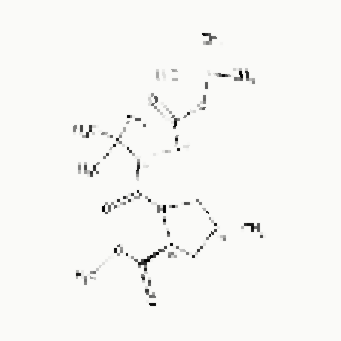 COC(=O)[C@@H]1C[C@@H](C)CN1C(=O)[C@@H](NC(=O)OC(C)(C)C)C(C)(C)C